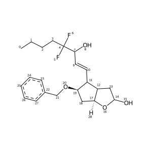 CCCCC(F)(F)C(O)/C=C/C1C2CC(O)O[C@H]2C[C@H]1OCc1ccccc1